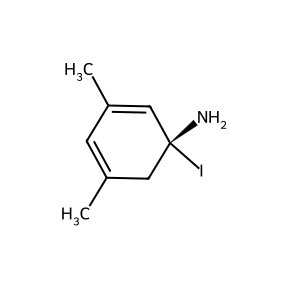 CC1=C[C@](N)(I)CC(C)=C1